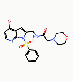 O=C(CN1CCOCC1)NCc1cc2c(Br)ccnc2n1S(=O)(=O)c1ccccc1